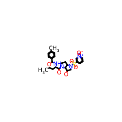 CCCC(NC(=O)c1ccc(C)cc1)C(=O)N1CCC2C1C(=O)CN2S(=O)(=O)c1ccc[n+]([O-])c1